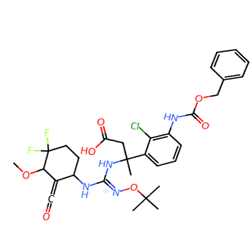 COC1C(=C=O)C(N/C(=N/OC(C)(C)C)NC(C)(CC(=O)O)c2cccc(NC(=O)OCc3ccccc3)c2Cl)CCC1(F)F